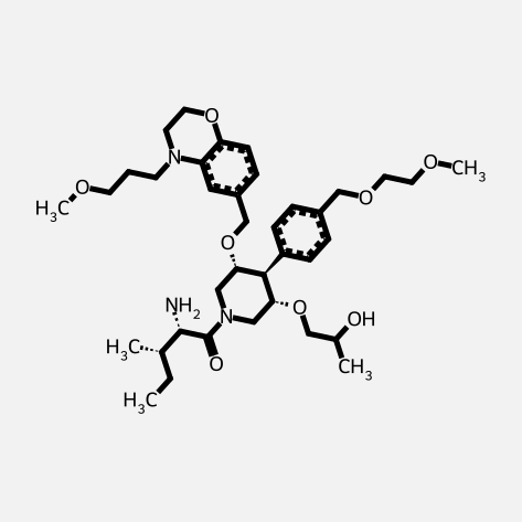 CC[C@H](C)[C@H](N)C(=O)N1C[C@H](OCc2ccc3c(c2)N(CCCOC)CCO3)[C@@H](c2ccc(COCCOC)cc2)[C@H](OCC(C)O)C1